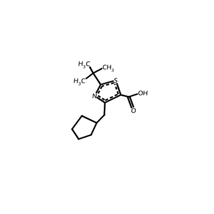 CC(C)(C)c1nc(CC2CCCC2)c(C(=O)O)s1